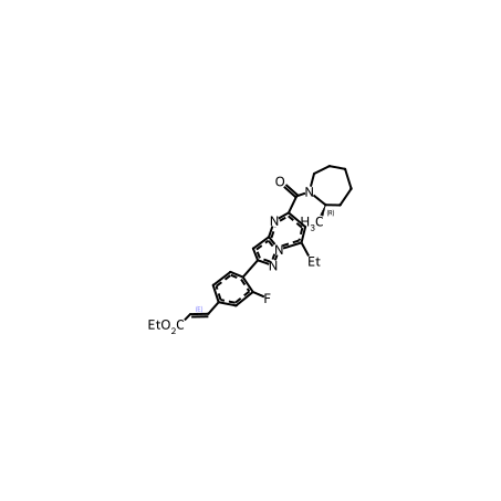 CCOC(=O)/C=C/c1ccc(-c2cc3nc(C(=O)N4CCCCC[C@H]4C)cc(CC)n3n2)c(F)c1